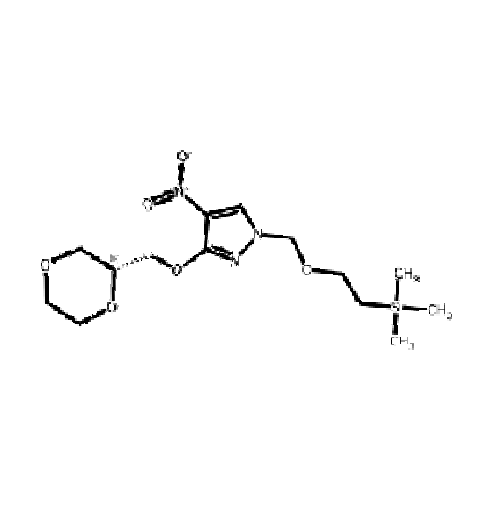 C[Si](C)(C)CCOCn1cc([N+](=O)[O-])c(OC[C@H]2COCCO2)n1